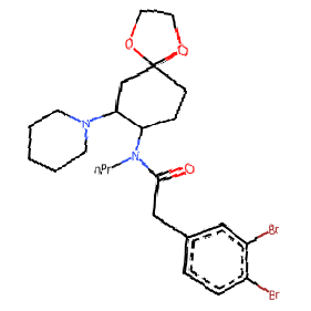 CCCN(C(=O)Cc1ccc(Br)c(Br)c1)C1CCC2(CC1N1CCCCC1)OCCO2